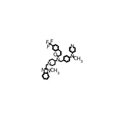 CN(c1ccncc1)c1ccc(CN(C(=O)C=Cc2ccc(C(F)(F)F)cc2)C2CCN(Cc3nc4ccccc4n3C)CC2)cc1